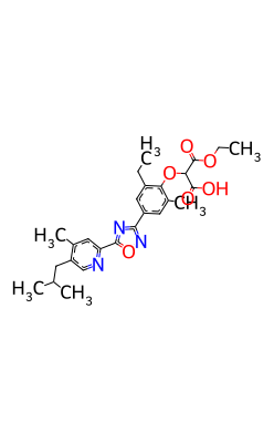 CCOC(=O)C(Oc1c(C)cc(-c2noc(-c3cc(C)c(CC(C)C)cn3)n2)cc1CC)C(=O)O